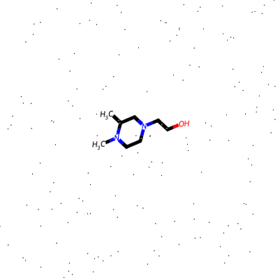 CC1CN(CCO)CCN1C